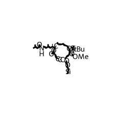 COCO[C@@H]1/C=C/[C@H](OCOCC[Si](C)(C)C)CCC/C=C/C(=O)O[C@@H]([C@H](C)/C=C(C)/C=C/NC(=O)C=C(C)C)C/C(C)=C/C=C/CC[C@H]1O[Si](C)(C)C(C)(C)C